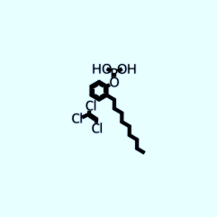 CCCCCCCCCc1ccccc1OP(O)O.ClC=C(Cl)Cl